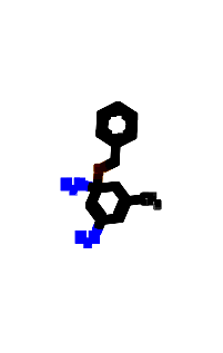 NC1=CC(N)(SCc2ccccc2)CC(C(F)(F)F)=C1